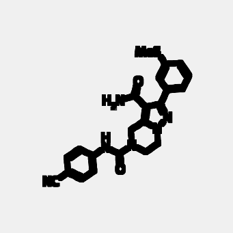 CSc1cccc(-c2nn3c(c2C(N)=O)CN(C(=O)Nc2ccc(C#N)cc2)CC3)c1